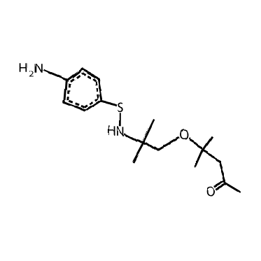 CC(=O)CC(C)(C)OCC(C)(C)NSc1ccc(N)cc1